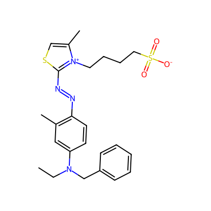 CCN(Cc1ccccc1)c1ccc(/N=N/c2scc(C)[n+]2CCCCS(=O)(=O)[O-])c(C)c1